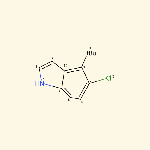 CC(C)(C)c1c(Cl)ccc2[nH]ccc12